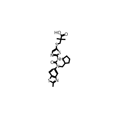 Cc1nc2cc(N(CC3CCCC3)C(=O)Nc3ncc(SCC(C)(C)C(=O)O)s3)ccc2s1